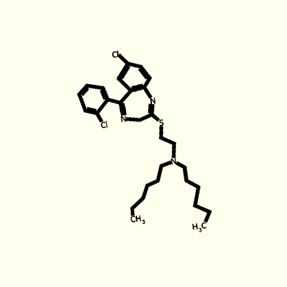 CCCCCCN(CCCCCC)CCSC1=Nc2ccc(Cl)cc2C(c2ccccc2Cl)=NC1